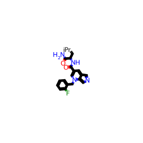 CC(C)CC(NC(=O)c1cc2cncc-2n(Cc2ccccc2F)c1)C(N)=O